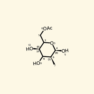 CC(=O)OCC1O[C@@H](O)[C@@H](C)C(O)[C@H]1O